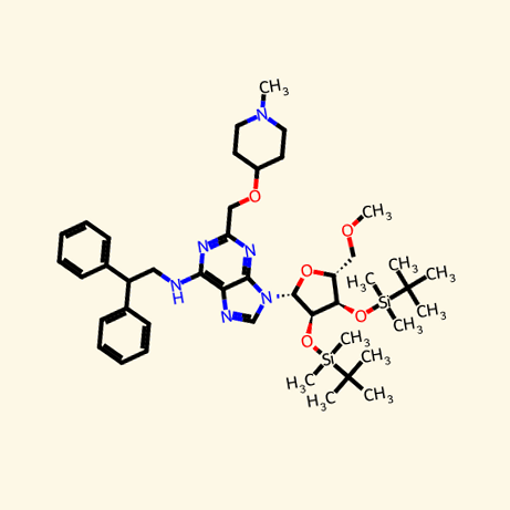 COC[C@H]1O[C@@H](n2cnc3c(NCC(c4ccccc4)c4ccccc4)nc(COC4CCN(C)CC4)nc32)[C@H](O[Si](C)(C)C(C)(C)C)[C@@H]1O[Si](C)(C)C(C)(C)C